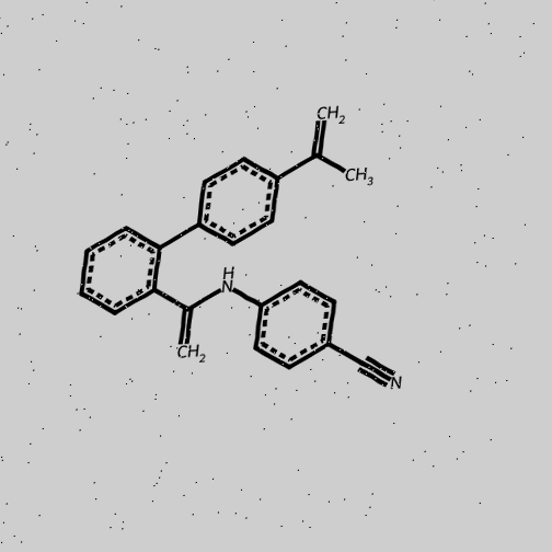 C=C(C)c1ccc(-c2ccccc2C(=C)Nc2ccc(C#N)cc2)cc1